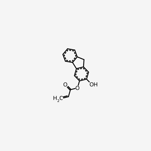 C=CC(=O)Oc1cc2c(cc1O)Cc1ccccc1-2